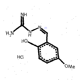 COc1ccc(O)c(/C=N\NC(=N)N)c1.Cl